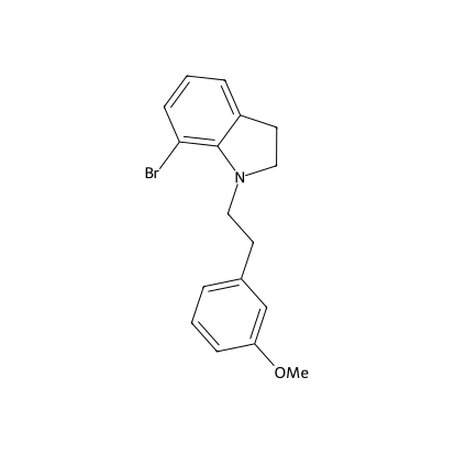 COc1cccc(CCN2CCc3cccc(Br)c32)c1